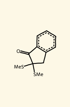 CSC1(SC)Cc2ccccc2C1=O